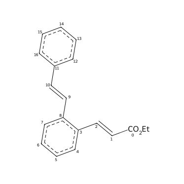 CCOC(=O)C=Cc1ccccc1C=Cc1ccccc1